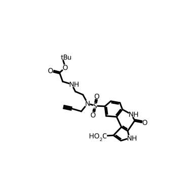 C#CCN(CCNCC(=O)OC(C)(C)C)S(=O)(=O)c1ccc2[nH]c(=O)c3[nH]cc(C(=O)O)c3c2c1